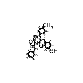 Cc1ccc(O[C@@H](Cc2ccc(O)cc2)C(=O)N2C(=O)OC[C@@H]2Cc2ccccc2)cc1